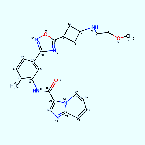 COCCNC1CC(c2nc(-c3ccc(C)c(NC(=O)c4cnc5ccccn45)c3)no2)C1